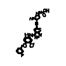 O=C(O)N[C@@H]1CN[C@H](C#Cc2cc3c(Nc4ccc(OCc5cccc(F)c5)c(Cl)c4)ncnc3s2)C1